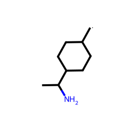 [CH2]C1CCC(C(C)N)CC1